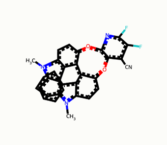 Cn1c2ccccc2c2c3c(ccc21)oc1nc(F)c(F)c(C#N)c1oc1ccc2c(c4ccccc4n2C)c13